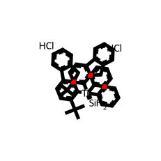 CC(C)(C)c1ccc2c([c]1[Ti](=[SiH2])([c]1ccccc1)([c]1ccccc1)[c]1c(C(C)(C)C)ccc3c1Cc1ccccc1-3)Cc1ccccc1-2.Cl.Cl